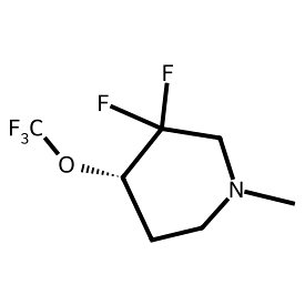 CN1CC[C@H](OC(F)(F)F)C(F)(F)C1